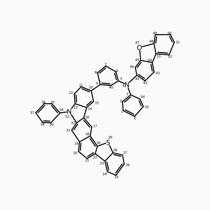 c1ccc(N(c2cccc(-c3ccc4c(c3)c3cc5c(ccc6c7ccccc7sc56)cc3n4-c3ccccc3)c2)c2ccc3c(c2)oc2ccccc23)cc1